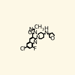 Cc1noc(-c2cc3cc(Cl)cc(F)c3nc2N2CCC(N[C@H]3CCOC3)CC2)n1